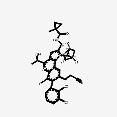 CC(O)c1nc2c(F)c(-c3cccc(Cl)c3Cl)c(CCC#N)cc2c2c1cc([C@@H](C)NC(=O)C1(C)CC1)n2[C@H]1[C@H]2CN[C@@H]1C2